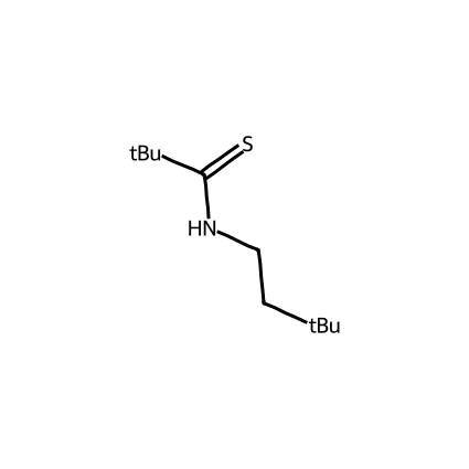 CC(C)(C)CCNC(=S)C(C)(C)C